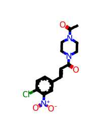 CC(=O)N1CCN(C(=O)C=Cc2ccc(Cl)c([N+](=O)[O-])c2)CC1